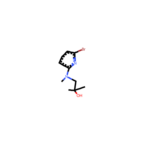 CN(CC(C)(C)O)c1cccc(Br)n1